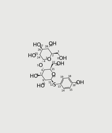 OC[C@H]1O[C@H](O[C@H]2[C@H](O)[C@@H](O)[C@H](Sc3ccc(O)cc3)O[C@@H]2CO)[C@H](O)[C@@H](O)[C@@H]1O